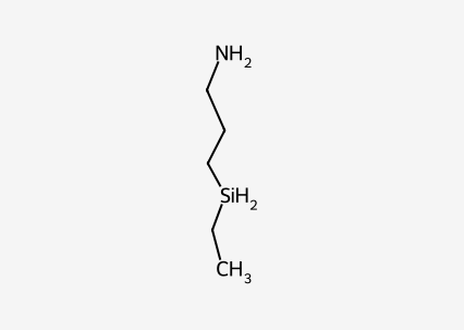 CC[SiH2]CCCN